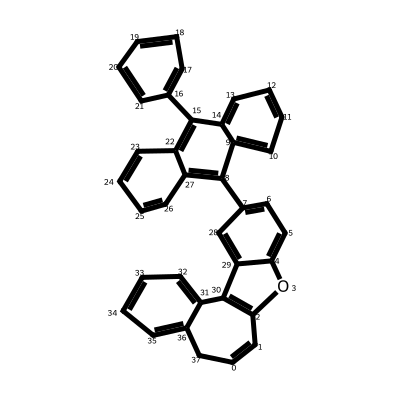 C1=Cc2oc3ccc(-c4c5ccccc5c(-c5ccccc5)c5ccccc45)cc3c2-c2ccccc2C1